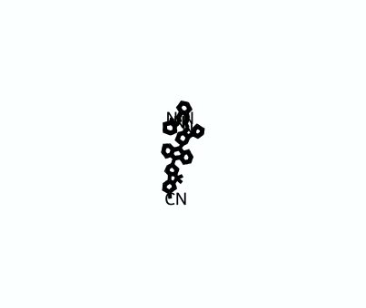 CC1(C)c2cc(C#N)ccc2-c2ccc(-c3c4ccccc4c(-c4ccc5c(c4)c4ccccc4n5-c4nc5ccccc5c5nc6ccccc6n45)c4ccccc34)cc21